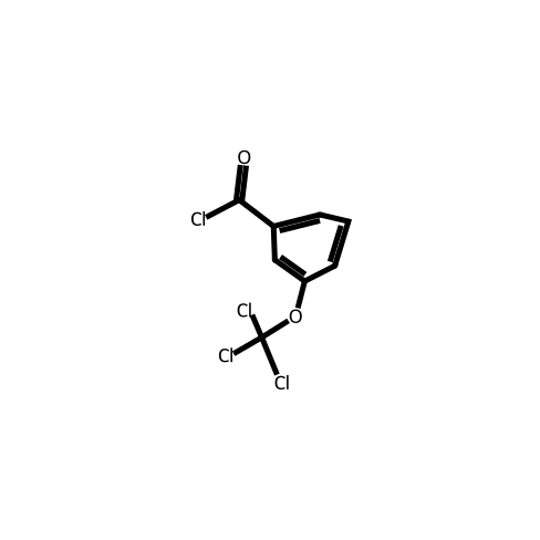 O=C(Cl)c1cccc(OC(Cl)(Cl)Cl)c1